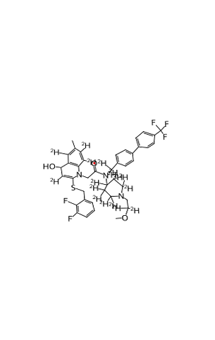 [2H]C1=C(SCc2cccc(F)c2F)N(CC(=O)N(C([2H])([2H])c2ccc(-c3ccc(C(F)(F)F)cc3)cc2)C2([2H])C([2H])([2H])C([2H])([2H])N(CC([2H])([2H])OC)C([2H])([2H])C2([2H])[2H])c2c([2H])c([2H])c(C)c([2H])c2C1O